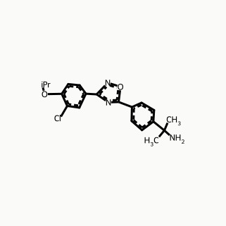 CC(C)Oc1ccc(-c2noc(-c3ccc(C(C)(C)N)cc3)n2)cc1Cl